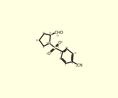 N#Cc1ccc(S(=O)(=O)N2C[CH]C[C@H]2C=O)cc1